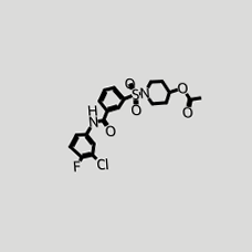 CC(=O)OC1CCN(S(=O)(=O)c2cccc(C(=O)Nc3ccc(F)c(Cl)c3)c2)CC1